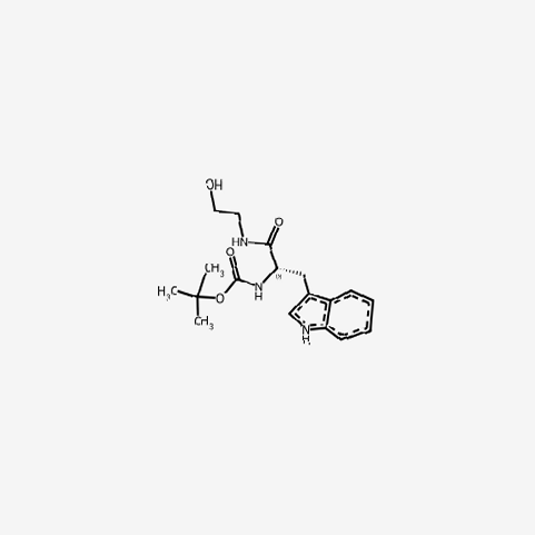 CC(C)(C)OC(=O)N[C@@H](Cc1c[nH]c2ccccc12)C(=O)NCCO